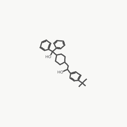 CC(C)(C)c1ccc(C(O)CC2CCC(C(O)(c3ccccc3)c3ccccc3)CC2)cc1